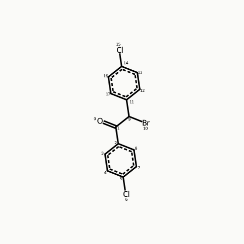 O=C(c1ccc(Cl)cc1)C(Br)c1ccc(Cl)cc1